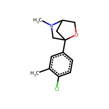 Cc1cc(C23CC(CO2)N(C)C3)ccc1Cl